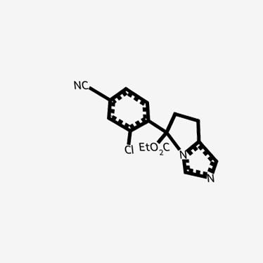 CCOC(=O)C1(c2ccc(C#N)cc2Cl)CCc2cncn21